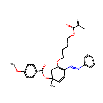 C=C(C)C(=O)OCCCCOC1=C(N=Nc2ccccc2)C=CC(CCCC)(OC(=O)c2ccc(OCCCC)cc2)C1